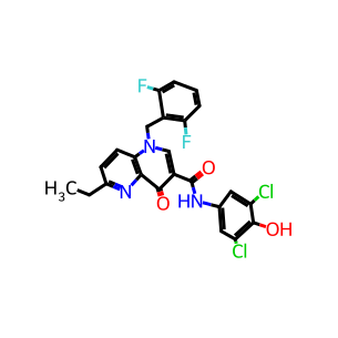 CCc1ccc2c(n1)c(=O)c(C(=O)Nc1cc(Cl)c(O)c(Cl)c1)cn2Cc1c(F)cccc1F